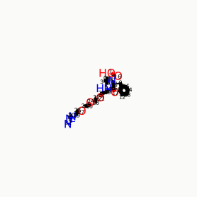 CC(C)(C)N(C(=O)O)[C@@H](Cc1ccccc1)C(=O)NCCOCCOCCOCCN=[N+]=[N-]